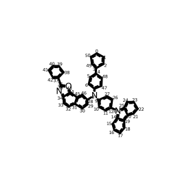 c1ccc(-c2ccc(N(c3ccc(-n4c5ccccc5c5ccccc54)cc3)c3ccc4ccc5nc(-c6ccccc6)oc5c4c3)cc2)cc1